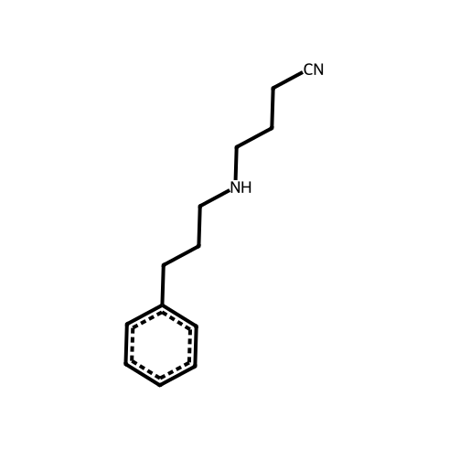 N#CCCCNCCCc1ccccc1